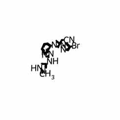 CN1C=C(Nc2nc3c(N4CC(CC#N)(n5cc(Br)cn5)C4)cccn3n2)CN1